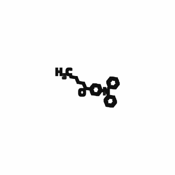 CCCCCC(=O)c1ccc(N(c2ccccc2)c2ccccc2)cc1